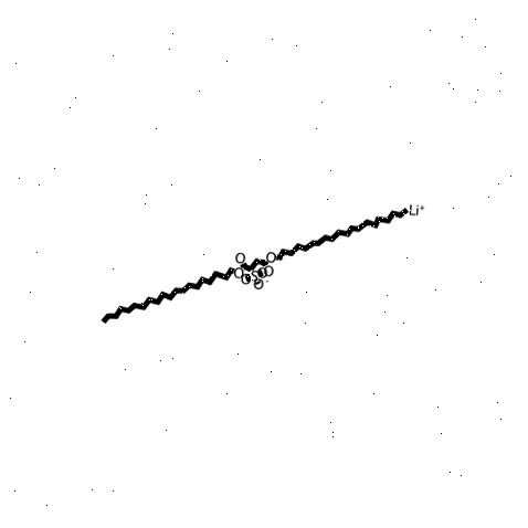 CCCCCCCCCCCCCCCCCCCCOC(=O)CC(C(=O)OCCCCCCCCCCCCCCCCCCCC)S(=O)(=O)[O-].[Li+]